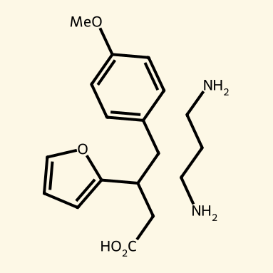 COc1ccc(CC(CC(=O)O)c2ccco2)cc1.NCCCN